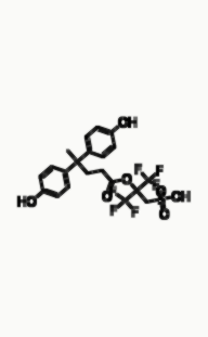 CC(CCC(=O)OC(CS(=O)(=O)O)(C(F)(F)F)C(F)(F)F)(c1ccc(O)cc1)c1ccc(O)cc1